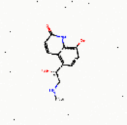 CCCC[CH]CCCCNC[C@H](O)c1ccc(O)c2[nH]c(=O)ccc12